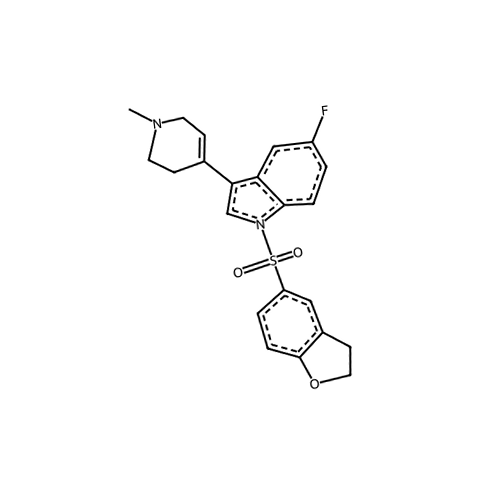 CN1CC=C(c2cn(S(=O)(=O)c3ccc4c(c3)CCO4)c3ccc(F)cc23)CC1